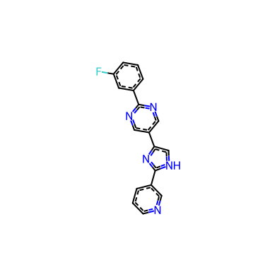 Fc1cccc(-c2ncc(-c3c[nH]c(-c4cccnc4)n3)cn2)c1